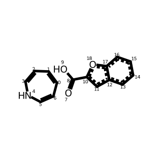 C1=CC=CNC=C1.O=C(O)c1cc2ccccc2o1